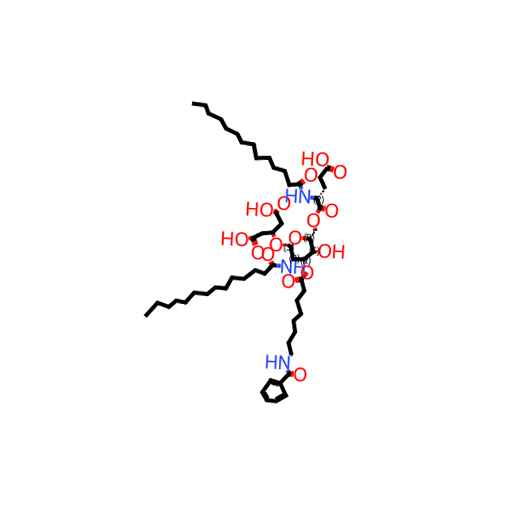 CCCCCCCCCCCCCC(=O)N[C@H]1[C@@H](OC(CC(=O)O)CC(=O)O)O[C@H](COC(=O)[C@@H](CCC(=O)O)NC(=O)CCCCCCCCCCCCC)[C@@H](O)[C@@H]1OC(=O)CCCCCCCNC(=O)c1ccccc1